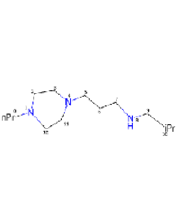 CCCN1CCN(CCCNCC(C)C)CC1